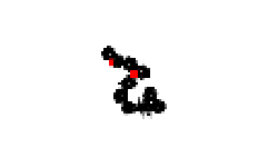 c1cc(-c2ccc(-n3c4ccccc4c4ccc(-c5ccc6ccccc6c5)cc43)cc2)cc(-c2cccc(-c3cnc4c5ccccc5c5ccccc5c4n3)c2)c1